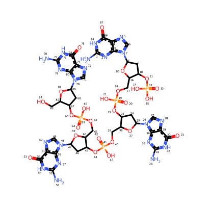 Nc1nc2c(ncn2C2CC(OP(=O)(O)O)C(COP(=O)(O)OC3CC(n4cnc5c(=O)[nH]c(N)nc54)OC3COP(=O)(O)OC3CC(n4cnc5c(=O)[nH]c(N)nc54)OC3COP(=O)(O)OC3CC(n4cnc5c(=O)[nH]c(N)nc54)OC3CO)O2)c(=O)[nH]1